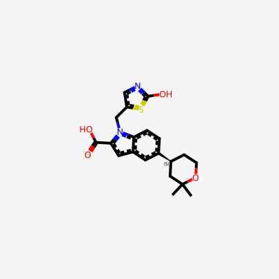 CC1(C)C[C@@H](c2ccc3c(c2)cc(C(=O)O)n3Cc2cnc(O)s2)CCO1